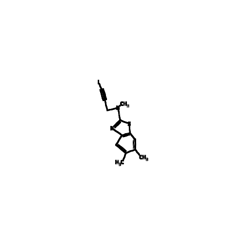 Cc1cc2nc(N(C)CC#CI)sc2cc1C